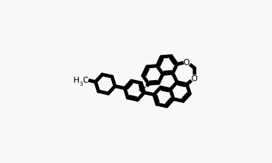 CC1CCC(c2ccc(-c3ccc4ccc5c(c4c3)-c3c(ccc4ccc(Br)cc34)OCO5)cc2)CC1